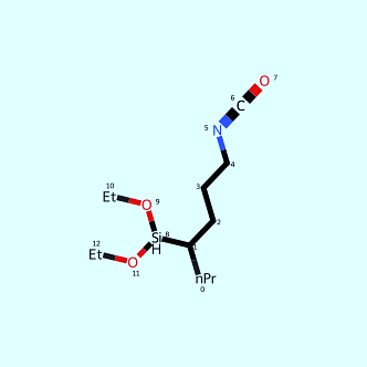 CCCC(CCCN=C=O)[SiH](OCC)OCC